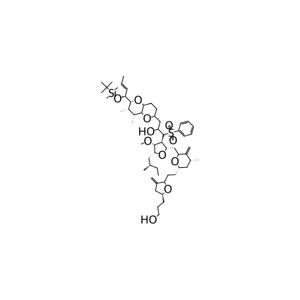 C=C1C[C@H](CCCO)OC1CC[C@H]1C[C@@H](C)C(=C)C(C[C@@H]2O[C@H](C[C@H](C)CC)[C@H](OC)[C@H]2C(C(O)CC2CCC3O[C@@H]([C@H](/C=C/C)O[Si](C)(C)C(C)(C)C)[C@@H](C)[C@@H](C)C3O2)S(=O)(=O)c2ccccc2)O1